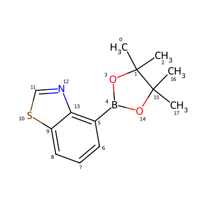 CC1(C)OB(c2cccc3scnc23)OC1(C)C